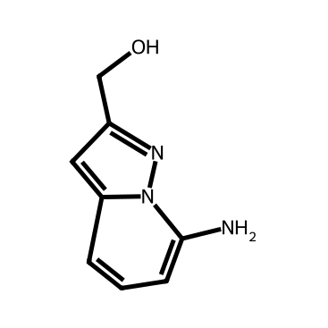 Nc1cccc2cc(CO)nn12